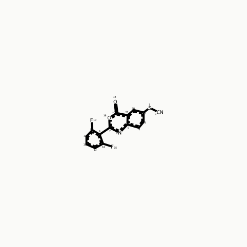 N#CSc1ccc2nc(-c3c(F)cccc3F)oc(=O)c2c1